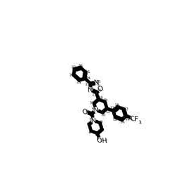 O=C(N1CCC(O)CC1)N1CC(c2ccc(C(F)(F)F)cc2)CC(c2nc(-c3ccccc3)no2)C1